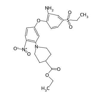 CCOC(=O)C1CCN(c2cc(Oc3ccc(S(=O)(=O)CC)cc3N)ccc2[N+](=O)[O-])CC1